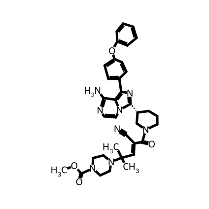 COC(=O)N1CCN(C(C)(C)C=C(C#N)C(=O)N2CCC[C@@H](c3nc(-c4ccc(Oc5ccccc5)cc4)c4c(N)nccn34)C2)CC1